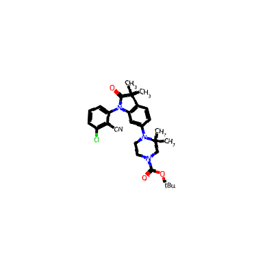 CC(C)(C)OC(=O)N1CCN(c2ccc3c(c2)N(c2cccc(Cl)c2C#N)C(=O)C3(C)C)C(C)(C)C1